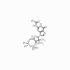 CC(C)C(=O)Nc1nc2c(ncn2[C@@H]2O[C@@H]3CO[Si](C(C)C)(C(C)C)O[Si](C(C)C)(C(C)C)O[C@H]3C2(C)C)c(=O)[nH]1